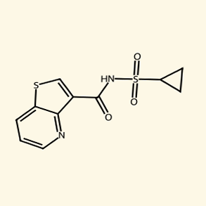 O=C(NS(=O)(=O)C1CC1)c1csc2cccnc12